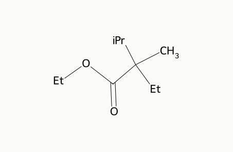 CCOC(=O)C(C)(CC)C(C)C